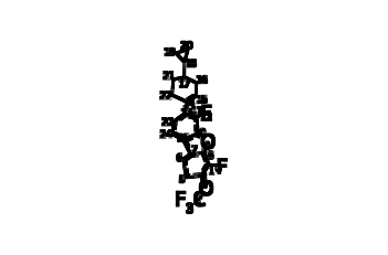 Fc1c(OC(F)(F)F)ccc2c1oc1c(F)c(C3=CCC(C4CC4)CC3)ccc12